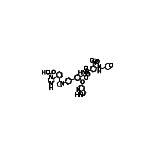 O=C(NS(=O)(=O)c1ccc(NCC2CCOCC2)c([N+](=O)[O-])c1)c1ccc(-c2ccc(N3CCCC3c3ccccc3C3CNCCN3C(=O)O)cc2)cc1Oc1cnc2[nH]ccc2c1